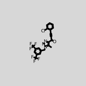 Cc1c(C(=O)C#Cc2ccccc2Cl)nnn1Cc1cc(C(F)(F)F)cc(C(F)(F)F)c1